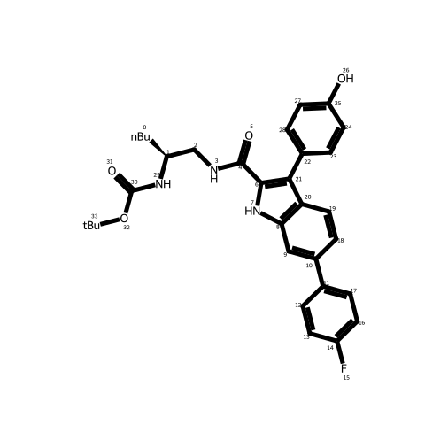 CCCC[C@@H](CNC(=O)c1[nH]c2cc(-c3ccc(F)cc3)ccc2c1-c1ccc(O)cc1)NC(=O)OC(C)(C)C